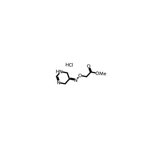 COC(=O)CO/N=C1/CN=CNC1.Cl